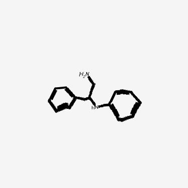 NCC(Nc1ccccc1)c1ccccc1